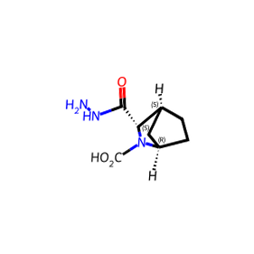 NNC(=O)[C@@H]1[C@H]2CC[C@H](C2)N1C(=O)O